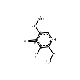 CCCCOc1c[nH]c(CO)c(Cl)c1=O